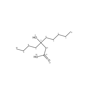 CCCCCC(O)(CCCC)CC(=O)O